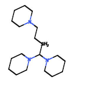 C1CCN(CC[SiH2]C(N2CCCCC2)N2CCCCC2)CC1